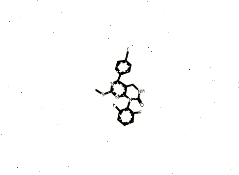 CSc1nc(-c2ccc(F)cc2)c2c(n1)N(c1c(F)cccc1F)C(=O)NC2